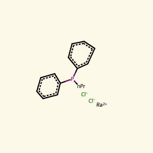 CCCP(c1ccccc1)c1ccccc1.[Cl-].[Cl-].[Ra+2]